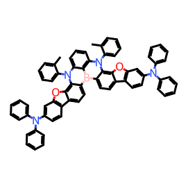 Cc1ccccc1N1c2cccc3c2B(c2ccc4c(oc5cc(N(c6ccccc6)c6ccccc6)ccc54)c21)c1ccc2c(oc4cc(N(c5ccccc5)c5ccccc5)ccc42)c1N3c1ccccc1C